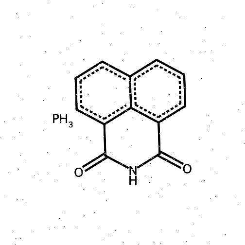 O=C1NC(=O)c2cccc3cccc1c23.P